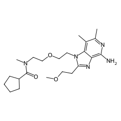 COCCc1nc2c(N)nc(C)c(C)c2n1CCOCCN(C)C(=O)C1CCCC1